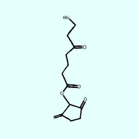 C=C1CCC(=O)C1OC(=O)CCCC(=O)CCC(C)(C)C